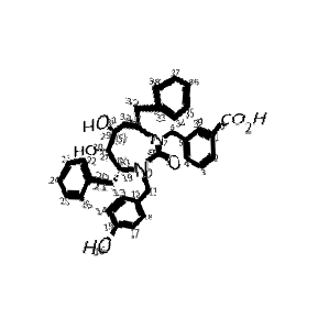 O=C(O)c1cccc(CN2C(=O)N(Cc3ccc(O)cc3)[C@H](Cc3ccccc3)[C@H](O)[C@@H](O)[C@H]2Cc2ccccc2)c1